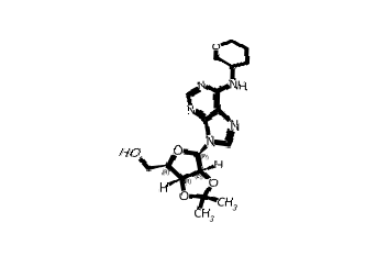 CC1(C)O[C@@H]2[C@H](O1)[C@@H](CO)O[C@H]2n1cnc2c(NC3CCCOC3)ncnc21